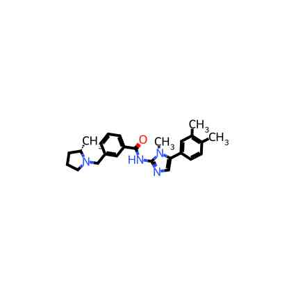 Cc1ccc(-c2cnc(NC(=O)c3cccc(CN4CCC[C@@H]4C)c3)n2C)cc1C